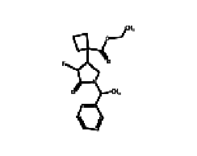 CCOC(=O)C1(C2CN(C(C)c3ccccc3)C(=O)C2F)CCC1